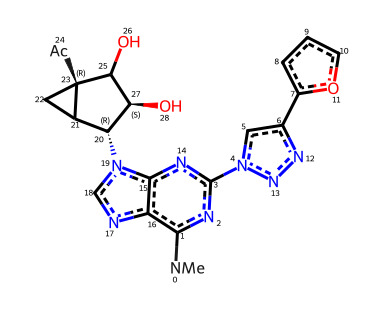 CNc1nc(-n2cc(-c3ccco3)nn2)nc2c1ncn2[C@@H]1C2C[C@]2(C(C)=O)C(O)[C@H]1O